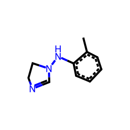 Cc1ccccc1NN1C=NCC1